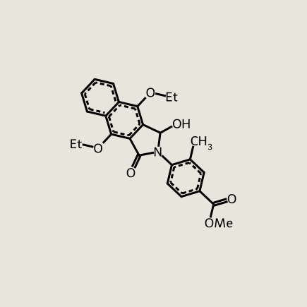 CCOc1c2c(c(OCC)c3ccccc13)C(O)N(c1ccc(C(=O)OC)cc1C)C2=O